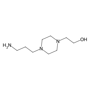 NCCCN1CCN(CCO)CC1